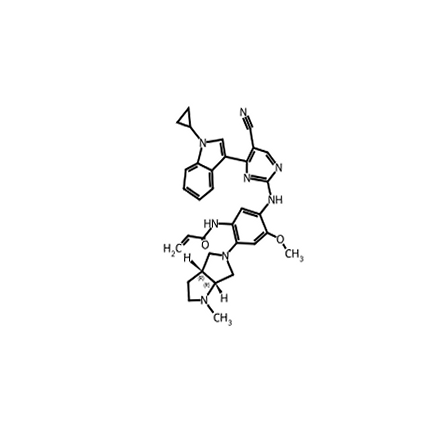 C=CC(=O)Nc1cc(Nc2ncc(C#N)c(-c3cn(C4CC4)c4ccccc34)n2)c(OC)cc1N1C[C@H]2CCN(C)[C@H]2C1